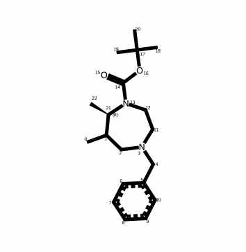 CC1CN(Cc2ccccc2)CCN(C(=O)OC(C)(C)C)[C@@H]1C